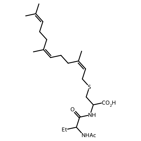 CCC(NC(C)=O)C(=O)NC(CSCC=C(C)CCC=C(C)CCC=C(C)C)C(=O)O